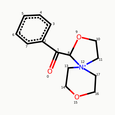 O=C(c1ccccc1)C1OCC[N+]12CCOCC2